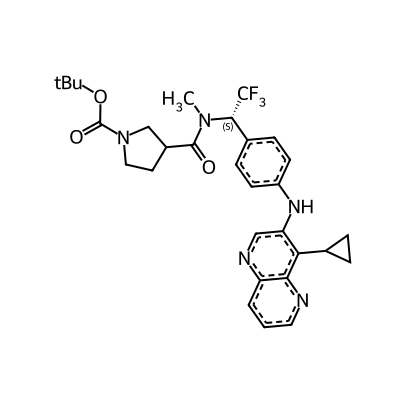 CN(C(=O)C1CCN(C(=O)OC(C)(C)C)C1)[C@@H](c1ccc(Nc2cnc3cccnc3c2C2CC2)cc1)C(F)(F)F